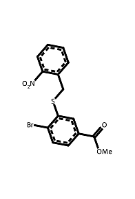 COC(=O)c1ccc(Br)c(SCc2ccccc2[N+](=O)[O-])c1